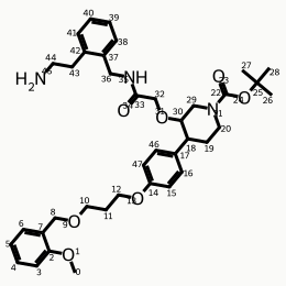 COc1ccccc1COCCCOc1ccc(C2CCN(C(=O)OC(C)(C)C)CC2OCC(=O)NCc2ccccc2CCN)cc1